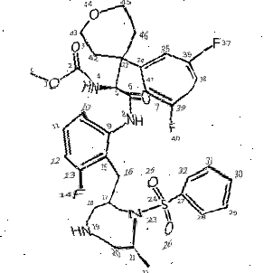 COC(=O)N[C@H](C(=O)Nc1cccc(F)c1CC1CNC[C@H](C)N1S(=O)(=O)c1ccccc1)C1(c2cc(F)cc(F)c2)CCOCC1